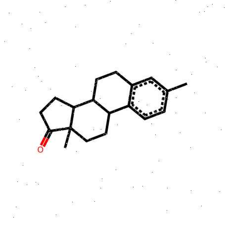 Cc1ccc2c(c1)CCC1C2CCC2(C)C(=O)CCC12